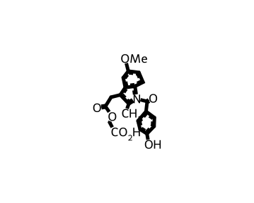 COc1ccc2c(c1)c(CC(=O)OCC(=O)O)c(C)n2C(=O)c1ccc(O)cc1